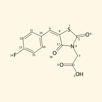 O=C(O)CN1C(=O)SC(=Cc2ccc(F)cc2)C1=O